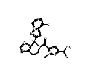 Cn1nc(C(F)P)cc1C(=O)N1CCc2[nH]cnc2[C@H]1c1cc2c(Cl)cccn2n1